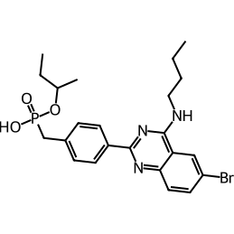 CCCCNc1nc(-c2ccc(CP(=O)(O)OC(C)CC)cc2)nc2ccc(Br)cc12